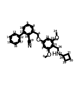 COc1cc(OCc2cccc(-c3ccccc3)c2C#N)cc(OC)c1CNC1CCC1